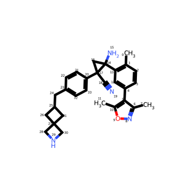 Cc1ccc(-c2c(C)noc2C)cc1C1(N)CC1(C#N)c1ccc(CC2CC3(CNC3)C2)cc1